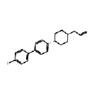 C=CC[C@H]1CC[C@H](c2ccc(-c3ccc(F)cc3)cc2)CC1